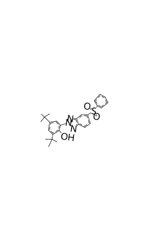 CC(C)(C)c1cc(-n2nc3ccc(S(=O)(=O)c4ccccc4)cc3n2)c(O)c(C(C)(C)C)c1